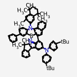 Cc1cc2c(cc1N1c3ccc(-c4ccccc4)cc3B3c4c(cc5ccccc5c41)-c1cc(N(c4ccc(C(C)(C)C)cc4)c4ccc(C(C)(C)C)cc4)cc4c5c(n3c14)C(C)(C)c1ccccc1-5)C(C)(C)CCC2(C)C